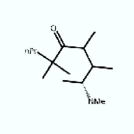 CCCC(C)(C)C(=O)C(C)C(C)[C@@H](C)NC